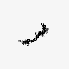 CCCC(C(=O)NC=O)n1c(=O)oc2c(N3CC(CN4CCN(C5CCN(c6cc(OCC)c(Nc7ncc(Br)c(Nc8ccc9nc(CC)ccc9c8P(C)(C)=O)n7)cc6CC)CC5)CC4)C3)cccc21